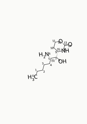 CCCCC[C@H](N)C(O)[C@@H]1CCOC(=O)N1